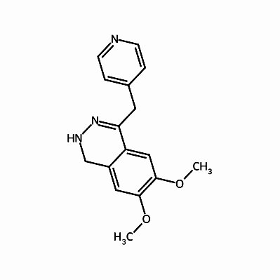 COc1cc2c(cc1OC)C(Cc1ccncc1)=NNC2